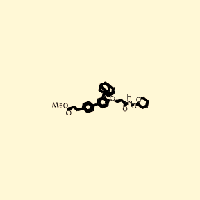 COC(=O)C=Cc1ccc(-c2ccc(OCCC(=O)NOC3CCCCO3)c(C34CC5CC(CC(C5)C3)C4)c2)cc1